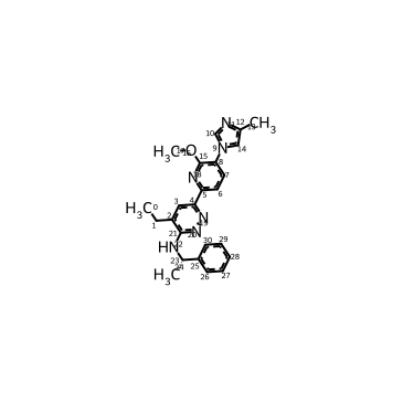 CCc1cc(-c2ccc(-n3cnc(C)c3)c(OC)n2)nnc1N[C@@H](C)c1ccccc1